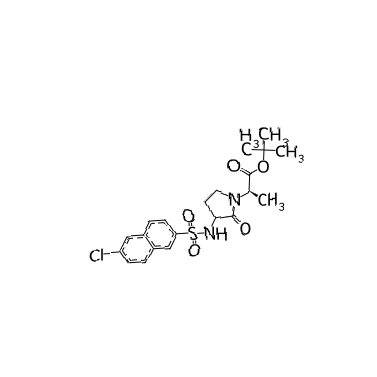 C[C@H](C(=O)OC(C)(C)C)N1CCC(NS(=O)(=O)c2ccc3cc(Cl)ccc3c2)C1=O